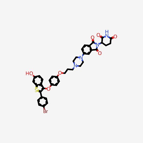 O=C1CCC(N2C(=O)c3ccc(N4CCN(CCCOc5ccc(Oc6c(-c7ccc(Br)cc7)sc7cc(O)ccc67)cc5)CC4)cc3C2=O)C(=O)N1